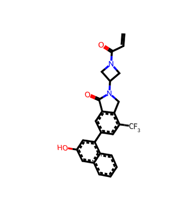 C=CC(=O)N1CC(N2Cc3c(cc(-c4cc(O)cc5ccccc45)cc3C(F)(F)F)C2=O)C1